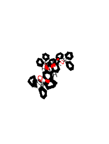 C[C@]12CC[C@H]3[C@@H](CC[C@H]4C[C@@H](O[Si](c5ccccc5)(c5ccccc5)c5ccccc5)CC[C@@]43CO[Si](c3ccccc3)(c3ccccc3)c3ccccc3)[C@@H]1CC[C@@H]2O[Si](c1ccccc1)(c1ccccc1)c1ccccc1